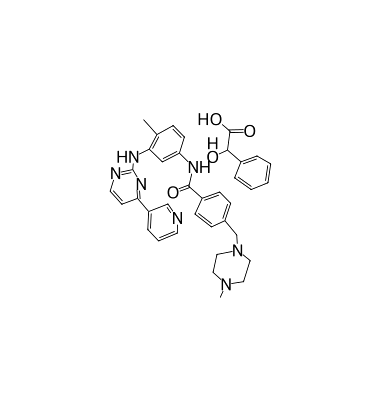 Cc1ccc(NC(=O)c2ccc(CN3CCN(C)CC3)cc2)cc1Nc1nccc(-c2cccnc2)n1.O=C(O)C(O)c1ccccc1